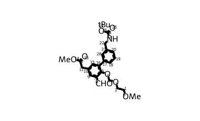 COCCOCOc1c(C=O)cc(CC(=O)OC)cc1-c1cccc(CNC(=O)OC(C)(C)C)c1